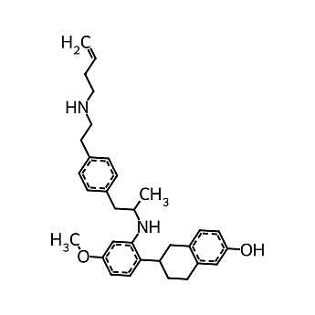 C=CCCNCCc1ccc(CC(C)Nc2cc(OC)ccc2C2CCc3cc(O)ccc3C2)cc1